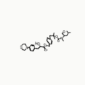 CC(C)CC(C=O)N(C)C(=O)OC(C)(C)Cc1ccc(COC(=O)C(O)Cc2ccc(N3CCOCC3)cc2)cc1